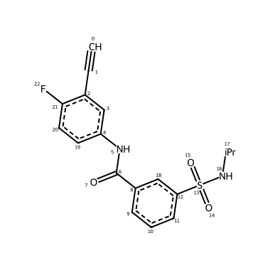 C#Cc1cc(NC(=O)c2cccc(S(=O)(=O)NC(C)C)c2)ccc1F